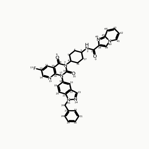 O=C(NC1CCC(n2c(=O)c3cc(F)cnc3n(-c3ccc4c(cnn4Cc4ccccc4)c3)c2=O)CC1)c1cn2ccccc2n1